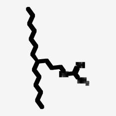 CCCCCCC[C@H](CCCCCC)CCCNC(=N)N